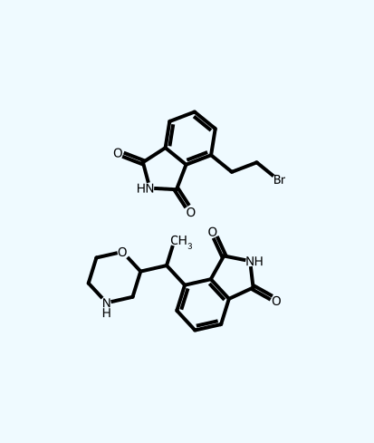 CC(c1cccc2c1C(=O)NC2=O)C1CNCCO1.O=C1NC(=O)c2c(CCBr)cccc21